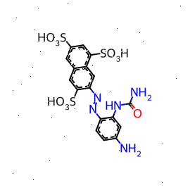 NC(=O)Nc1cc(N)ccc1N=Nc1cc2c(S(=O)(=O)O)cc(S(=O)(=O)O)cc2cc1S(=O)(=O)O